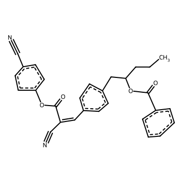 CCCC(Cc1ccc(C=C(C#N)C(=O)Oc2ccc(C#N)cc2)cc1)OC(=O)c1ccccc1